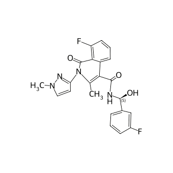 Cc1c(C(=O)N[C@@H](O)c2cccc(F)c2)c2cccc(F)c2c(=O)n1-c1ccn(C)n1